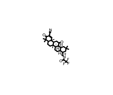 CC1(C)CC(CNC(=O)C(F)(F)F)[C@H]2CC[C@]3(C)[C@H](C(=O)CC4[C@@]5(C)C=C(C#N)C(=O)C(C)(C)C5CC[C@]43C)[C@H]2C1